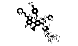 C#Cc1ccc(COc2c(-c3c(C)c(F)cc4c3C=NC4CCC3CCCCO3)c(C3CC3)cc3c(N4C[C@@H]5C[C@H]4CN5C(=O)OC(C)(C)C)nc(O[C@H]4CCOC4)nc23)cc1